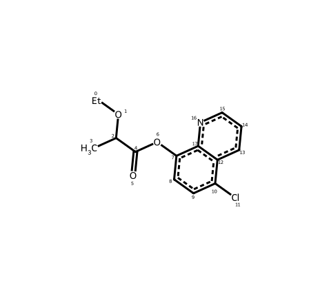 CCOC(C)C(=O)Oc1ccc(Cl)c2cccnc12